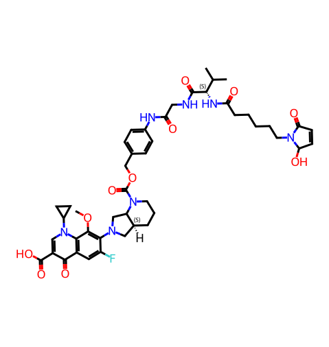 COc1c(N2CC3[C@@H](CCCN3C(=O)OCc3ccc(NC(=O)CNC(=O)[C@@H](NC(=O)CCCCCN4C(=O)C=CC4O)C(C)C)cc3)C2)c(F)cc2c(=O)c(C(=O)O)cn(C3CC3)c12